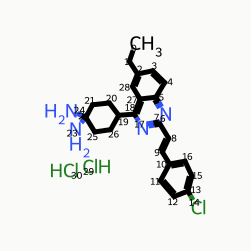 CCc1ccc2nc(C=Cc3ccc(Cl)cc3)nc(C3CCC(N)(N)CC3)c2c1.Cl.Cl